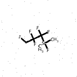 C[Si](C)(F)C(F)(F)C(F)(F)CF